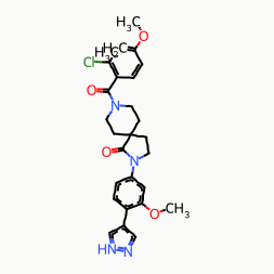 C=C(/C=C\C(C(=O)N1CCC2(CC1)CCN(c1ccc(-c3cn[nH]c3)c(OC)c1)C2=O)=C(/C)Cl)OC